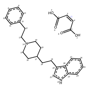 O=C(O)/C=C\C(=O)O.c1ccc(CCN2CCC(CCc3n[nH]c4ccccc34)CC2)cc1